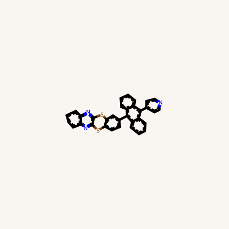 c1ccc2nc3c(nc2c1)Sc1ccc(-c2c4ccccc4c(-c4ccncc4)c4ccccc24)cc1S3